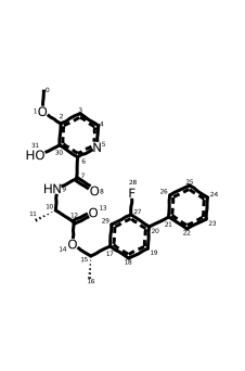 COc1ccnc(C(=O)N[C@@H](C)C(=O)O[C@@H](C)c2ccc(-c3ccccc3)c(F)c2)c1O